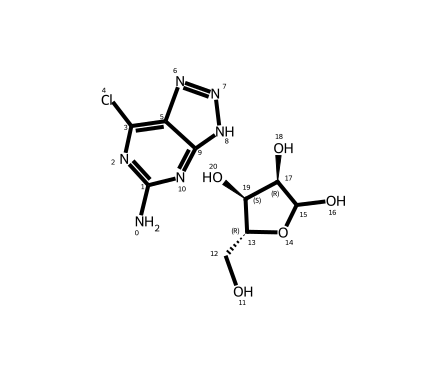 Nc1nc(Cl)c2nn[nH]c2n1.OC[C@H]1OC(O)[C@H](O)[C@@H]1O